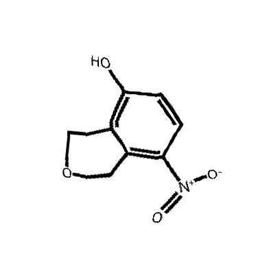 O=[N+]([O-])c1ccc(O)c2c1COC2